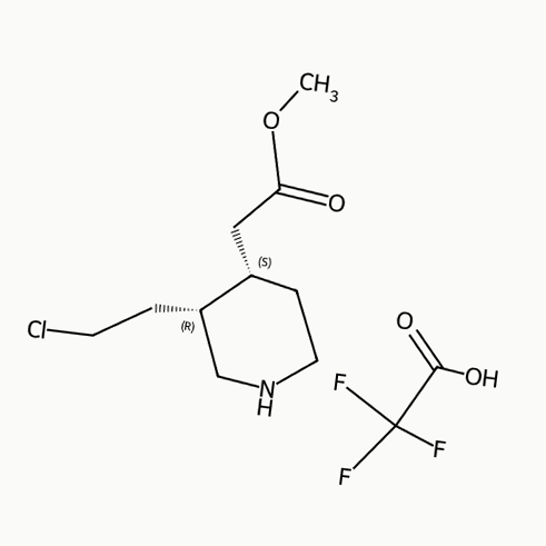 COC(=O)C[C@@H]1CCNC[C@@H]1CCCl.O=C(O)C(F)(F)F